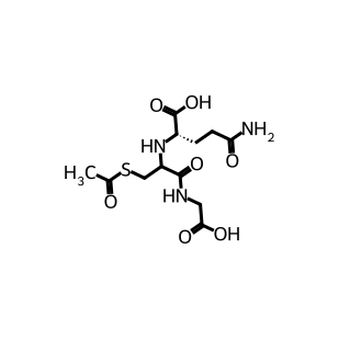 CC(=O)SCC(N[C@@H](CCC(N)=O)C(=O)O)C(=O)NCC(=O)O